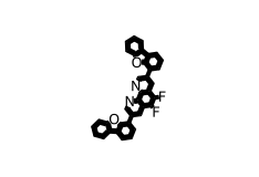 Fc1c(F)c2cc(-c3cccc4c3oc3ccccc34)cnc2c2ncc(-c3cccc4c3oc3ccccc34)cc12